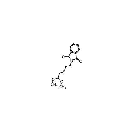 COC(CSCCN1C(=O)c2ccccc2C1=O)OC